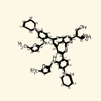 Cc1ccc(Nc2cc(N3CCCCC3)ccc2C2=CC3=CC(c4ccc(N5CCCCC5)cc4Nc4ccc(C)o4)=Nc4nc(/C(C=N)=C/O)nc(c4=C3)=N2)o1